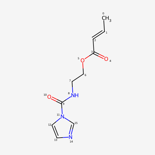 CC=CC(=O)OCCNC(=O)n1ccnc1